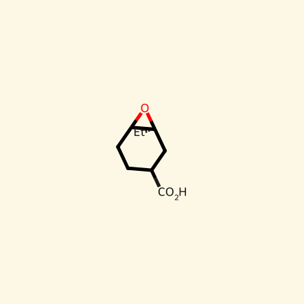 CC[C@]12CC(C(=O)O)CCC1O2